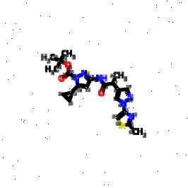 Cc1nc(-n2cc(C(C)C(=O)Nc3cc(C4CC4)n(C(=O)OC(C)(C)C)n3)cn2)cs1